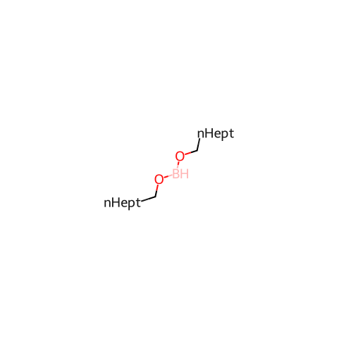 CCCCCCCCOBOCCCCCCCC